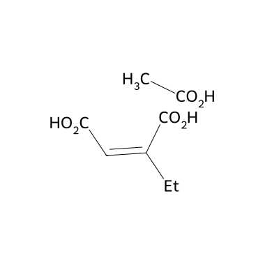 CC(=O)O.CC/C(=C/C(=O)O)C(=O)O